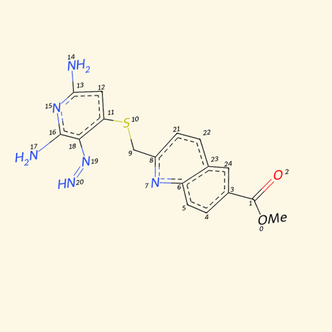 COC(=O)c1ccc2nc(CSc3cc(N)nc(N)c3N=N)ccc2c1